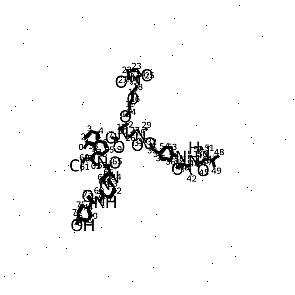 Cc1cccc2c(OC(=O)N(CCOCCOCCN3C(=O)C=CC3=O)CCN(C)C(=O)OCc3ccc(NC(=O)[C@H](C)NC(=O)[C@H](C(C)C)N(C)C)cc3)cc3c(c12)[C@H](CCl)CN3C(=O)c1cn2cc(NC(=O)c3ccc(O)cc3)ccc2n1